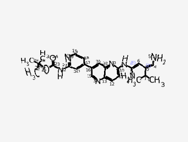 CC(C)C(=C/N)/C=C(\N)Nc1ccc2ncc(-c3ccnc(NC(=O)OC(C)(C)C)c3)cc2n1